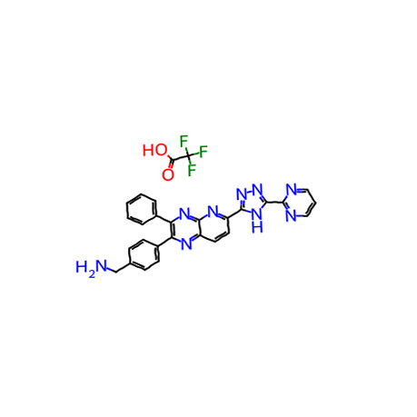 NCc1ccc(-c2nc3ccc(-c4nnc(-c5ncccn5)[nH]4)nc3nc2-c2ccccc2)cc1.O=C(O)C(F)(F)F